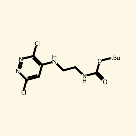 CC(C)(C)OC(=O)NCCNc1cc(Cl)nnc1Cl